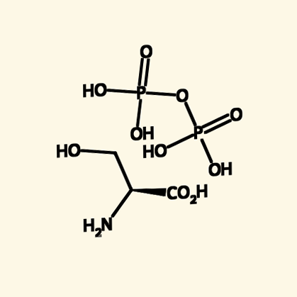 N[C@@H](CO)C(=O)O.O=P(O)(O)OP(=O)(O)O